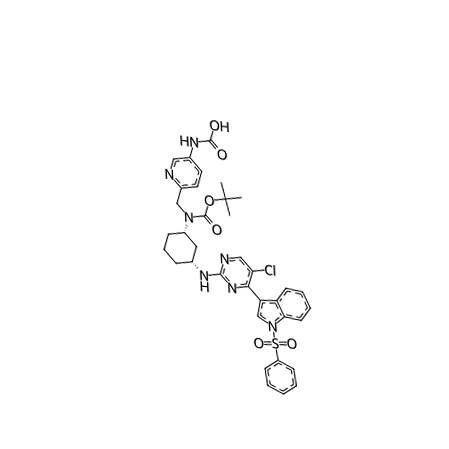 CC(C)(C)OC(=O)N(Cc1ccc(NC(=O)O)cn1)[C@H]1CCC[C@@H](Nc2ncc(Cl)c(-c3cn(S(=O)(=O)c4ccccc4)c4ccccc34)n2)C1